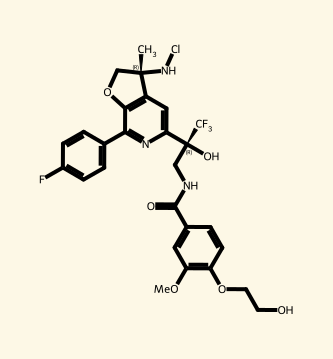 COc1cc(C(=O)NC[C@@](O)(c2cc3c(c(-c4ccc(F)cc4)n2)OC[C@]3(C)NCl)C(F)(F)F)ccc1OCCO